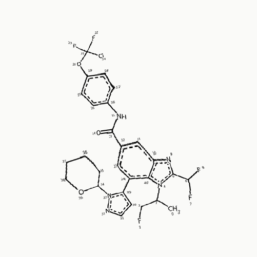 CC(CF)n1c(C(F)F)nc2cc(C(=O)Nc3ccc(OC(F)(F)Cl)cc3)cc(-c3ccnn3C3CCCCO3)c21